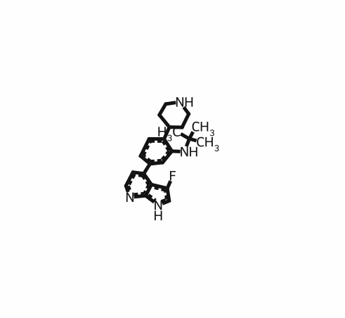 CC(C)(C)Nc1cc(-c2ccnc3[nH]cc(F)c23)ccc1C1CCNCC1